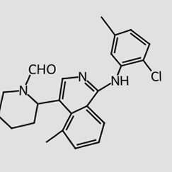 Cc1ccc(Cl)c(Nc2ncc(C3CCCCN3C=O)c3c(C)cccc23)c1